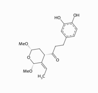 C/C=C1\[C@H](OC)O[C@H](OC)C[C@@H]1C(=O)CCc1ccc(O)c(O)c1